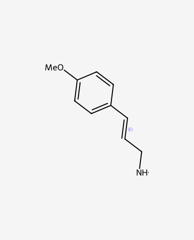 COc1ccc(/C=C/C[NH])cc1